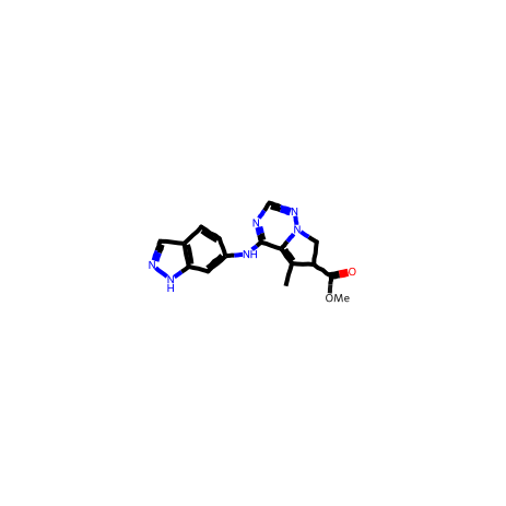 COC(=O)C1CN2N=CN=C(Nc3ccc4cn[nH]c4c3)C2=C1C